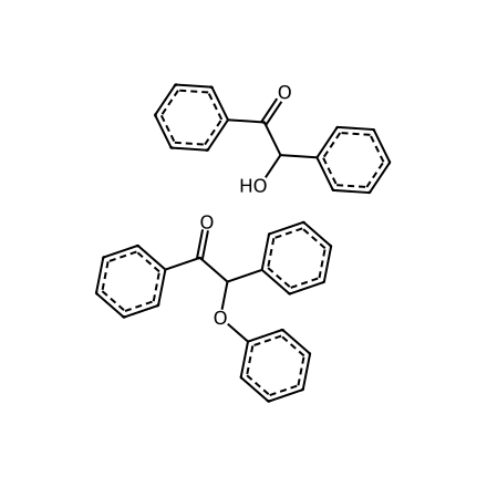 O=C(c1ccccc1)C(O)c1ccccc1.O=C(c1ccccc1)C(Oc1ccccc1)c1ccccc1